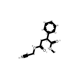 COC(=O)C(CC(=O)OCC#N)c1ccccc1